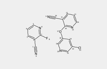 N#Cc1cccnc1F.N#Cc1cccnc1Oc1cncc(Cl)c1